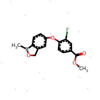 COC(=O)c1ccc(Oc2ccc3c(c2)COB3C)c(F)c1